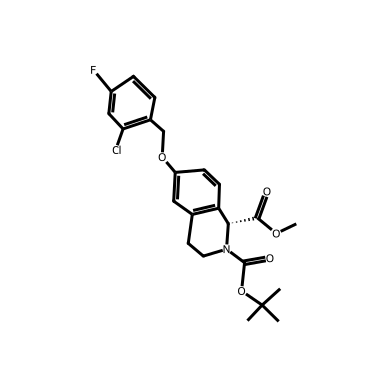 COC(=O)[C@H]1c2ccc(OCc3ccc(F)cc3Cl)cc2CCN1C(=O)OC(C)(C)C